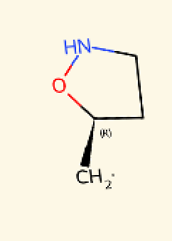 [CH2][C@@H]1CCNO1